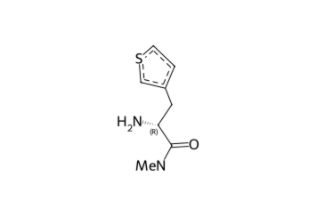 CNC(=O)[C@H](N)Cc1ccsc1